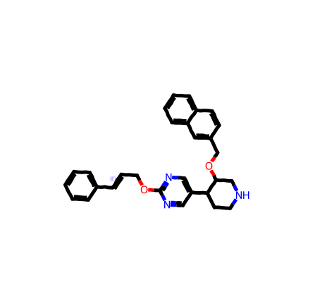 C(=C\c1ccccc1)/COc1ncc(C2CCNCC2OCc2ccc3ccccc3c2)cn1